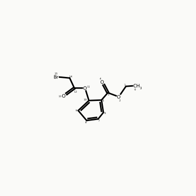 CCOC(=O)c1ccccc1OC(=O)CBr